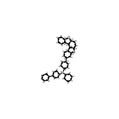 c1ccc(-c2ccc(N(c3ccccc3)c3ccc(-c4ccc5c(c4)sc4ccc6oc7ccccc7c6c45)cc3)cc2)cc1